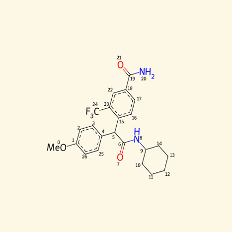 COc1ccc(C(C(=O)NC2CCCCC2)c2ccc(C(N)=O)cc2C(F)(F)F)cc1